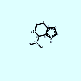 CN(C)[C@H]1OCCc2ccsc21